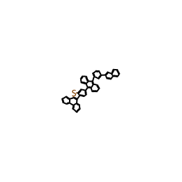 c1cc(-c2ccc3ccccc3c2)cc(-c2c3ccccc3c(-c3ccc4c(c3)sc3c5ccccc5c5ccccc5c43)c3ccccc23)c1